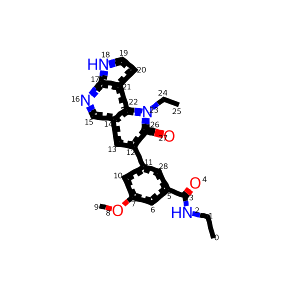 CCNC(=O)c1cc(OC)cc(-c2cc3cnc4[nH]ccc4c3n(CC)c2=O)c1